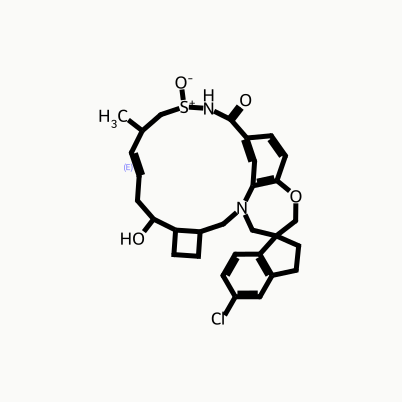 CC1/C=C/CC(O)C2CCC2CN2CC3(CCc4cc(Cl)ccc43)COc3ccc(cc32)C(=O)N[S+]([O-])C1